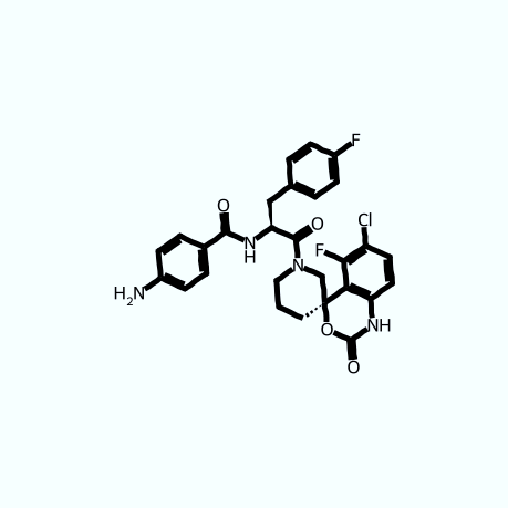 Nc1ccc(C(=O)N[C@@H](Cc2ccc(F)cc2)C(=O)N2CCC[C@@]3(C2)OC(=O)Nc2ccc(Cl)c(F)c23)cc1